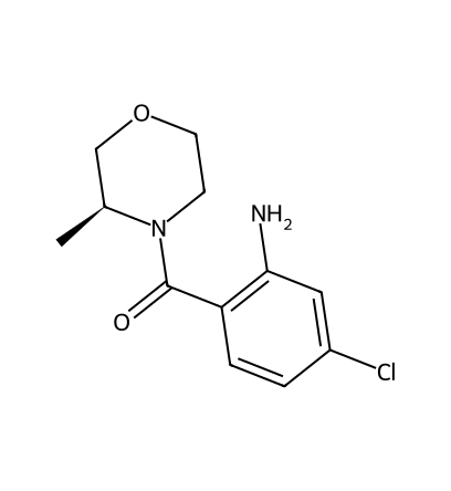 C[C@H]1COCCN1C(=O)c1ccc(Cl)cc1N